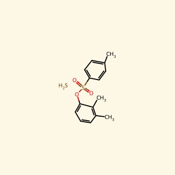 Cc1ccc(S(=O)(=O)Oc2cccc(C)c2C)cc1.S